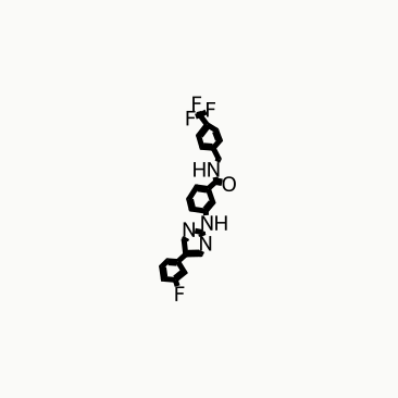 O=C(NCc1ccc(C(F)(F)F)cc1)c1cccc(Nc2ncc(-c3cccc(F)c3)cn2)c1